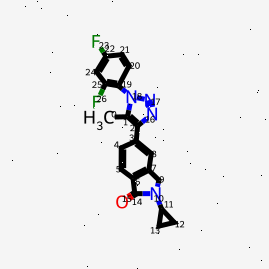 Cc1c(-c2ccc3c(c2)CN(C2CC2)C3=O)nnn1-c1ccc(F)cc1F